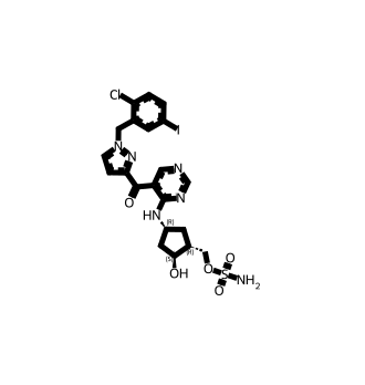 NS(=O)(=O)OC[C@H]1C[C@@H](Nc2ncncc2C(=O)c2ccn(Cc3cc(I)ccc3Cl)n2)C[C@@H]1O